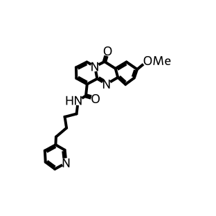 COc1ccc2nc3c(C(=O)NCCCCc4cccnc4)cccn3c(=O)c2c1